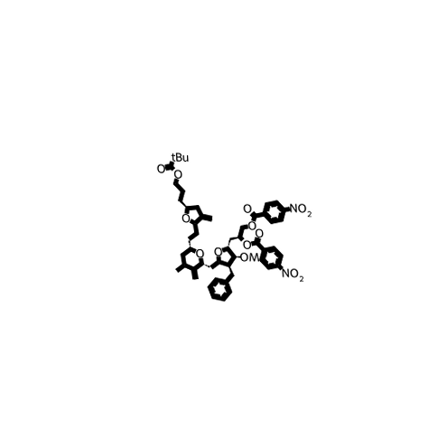 C=C1C[C@H](CCCOC(=O)C(C)(C)C)OC1CC[C@H]1CC(C)C(=C)[C@@H](CC2O[C@H](C[C@@H](COC(=O)c3ccc([N+](=O)[O-])cc3)OC(=O)c3ccc([N+](=O)[O-])cc3)[C@H](OC)[C@H]2Cc2ccccc2)O1